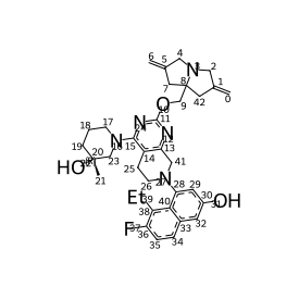 C=C1CN2CC(=C)CC2(COc2nc3c(c(N4CCC[C@@](C)(O)C4)n2)CCN(c2cc(O)cc4ccc(F)c(CC)c24)C3)C1